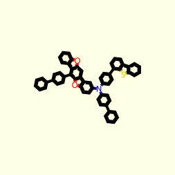 c1ccc(-c2ccc(-c3c4oc5ccc(N(c6ccc(-c7ccccc7)cc6)c6ccc(-c7cccc8c7sc7ccccc78)cc6)cc5c4cc4oc5ccccc5c34)cc2)cc1